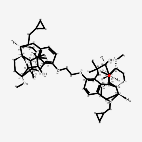 CO[C@]12CC[C@@]3(C[C@@H]1[C@](C)(O)C(C)(C)C)[C@H]1Cc4ccc(OCCOc5ccc6c7c5O[C@@]5(C)[C@]78CCN(CC7CC7)[C@H](C6)[C@]86CC[C@@]5(OC)[C@@H]([C@](C)(O)C(C)(C)C)C6)c5c4[C@@]3(CCN1CC1CC1)[C@H]2O5